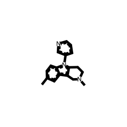 Cc1ccc2c(c1)c1c(n2-c2cccnc2)CCN(C)C1